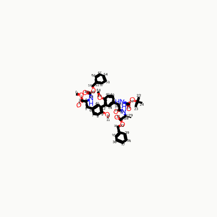 COC(=O)C(Cc1ccc(OC)c(-c2cc([C@H](NC(=O)OC(C)(C)C)C(=O)N[C@@H](C)C(=O)OCc3ccccc3)ccc2OC)c1)NC(=O)OCc1ccccc1